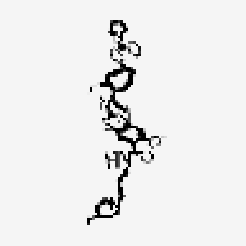 COc1cc2c(cc1C(=O)NCCCN1CCC(F)CC1)sc1nc(-c3ccc(OC(=O)N4CCCC4)cc3F)cn12